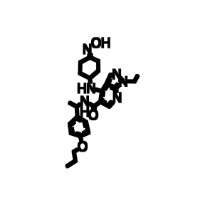 CCCOc1ccc(C(C)NC(=O)c2cnc3c(cnn3CC)c2NC2CCC(=NO)CC2)cc1